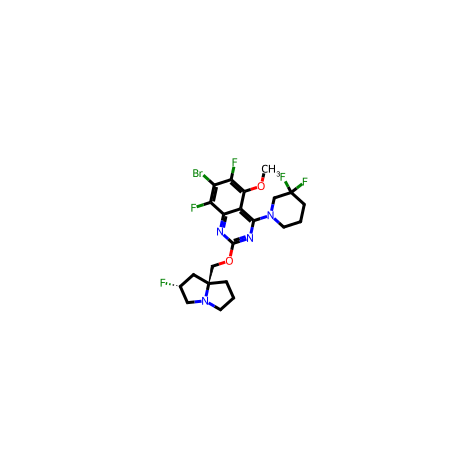 COc1c(F)c(Br)c(F)c2nc(OC[C@@]34CCCN3C[C@H](F)C4)nc(N3CCCC(F)(F)C3)c12